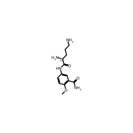 COc1ccc(NC(=O)[C@@H](N)CCCN)cc1C(N)=O